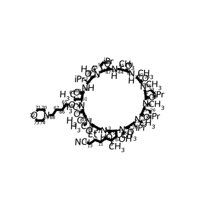 CC[C@@H]1NC(=O)[C@H]([C@H](O)[C@H](C)CCCCC#N)N(C)C(=O)[C@H](C(C)C)N(C)C(=O)[C@H](CC(C)C)N(C)C(=O)[C@H](CC(C)C)N(C)C(=O)[C@@H](C)NC(=O)[C@H](C)NC(=O)[C@H](CC(C)C)N(C)C(=O)[C@H](C(C)C)NC(=O)[C@H]([C@@H](C)OCCCCN2CCOCC2)N(C)C(=O)[C@@H](C)N(C)C1=O